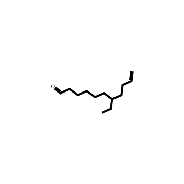 C=CCCC(CC)CCCCC[C]=O